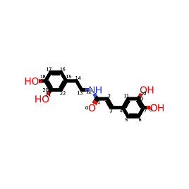 O=C(/C=C/c1ccc(O)c(O)c1)NCCc1ccc(O)c(O)c1